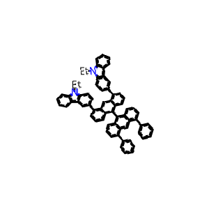 CCn1c2ccccc2c2cc(-c3cccc4c(-c5c6cccc(-c7ccccc7)c6cc6c(-c7ccccc7)cccc56)c5cccc(-c6ccc7c(c6)c6ccccc6n7CC)c5cc34)ccc21